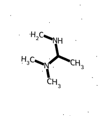 [CH2]NC(C)N(C)C